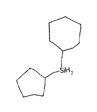 C1CCC([SiH2]C2CCCC2)CC1